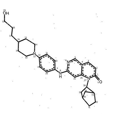 O=c1ccc2cnc(Nc3ccc(N4CCC(CCCO)CC4)cc3)cc2n1C1CC2CCC1C2